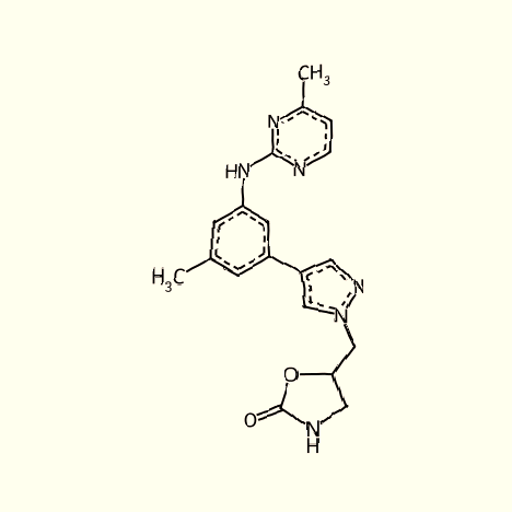 Cc1cc(Nc2nccc(C)n2)cc(-c2cnn(CC3CNC(=O)O3)c2)c1